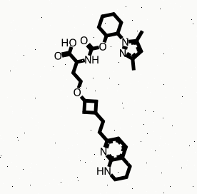 Cc1cc(C)n(C2CCCCC2OC(=O)NC(CCOC2CC(CCc3ccc4c(n3)NCCC4)C2)C(=O)O)n1